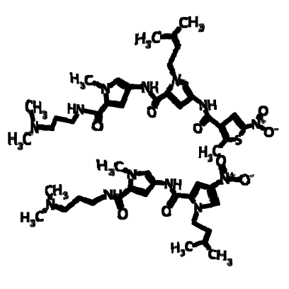 CC(C)CCn1cc([N+](=O)[O-])cc1C(=O)Nc1cc(C(=O)NCCCN(C)C)n(C)c1.Cc1sc([N+](=O)[O-])cc1C(=O)Nc1cc(C(=O)Nc2cc(C(=O)NCCCN(C)C)n(C)c2)n(CCC(C)C)c1